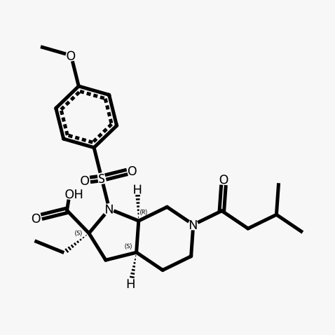 CC[C@@]1(C(=O)O)C[C@@H]2CCN(C(=O)CC(C)C)C[C@@H]2N1S(=O)(=O)c1ccc(OC)cc1